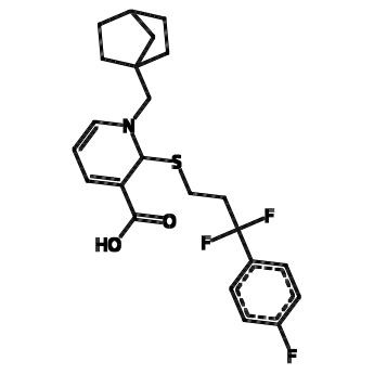 O=C(O)C1=CC=CN(CC23CCC(CC2)C3)C1SCCC(F)(F)c1ccc(F)cc1